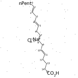 CCCCCC=CCC=CCC=CCC=CCCCC(=O)O.[Cl-].[Na+]